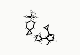 Cc1onc(C2CC2)c1-c1nnc([C@@H]2CC23CCN(S(N)(=O)=O)CC3)o1